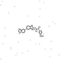 CC(C)(C)n1ccc(C(=O)NCc2nc3ccc(-c4ccc5scnc5c4)cc3[nH]2)c1